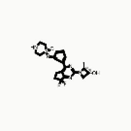 C[C@H]1[C@H](O)CN1c1nc(-c2cccc(N=S3(=O)CCNCC3)c2)c2c(n1)C(F)(F)CC2